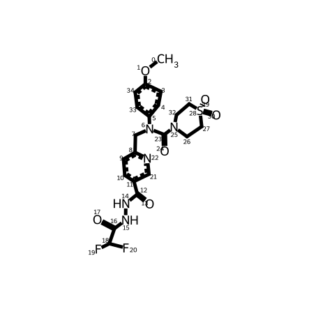 COc1ccc(N(Cc2ccc(C(=O)NNC(=O)C(F)F)cn2)C(=O)N2CCS(=O)(=O)CC2)cc1